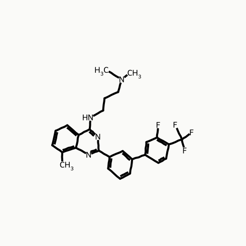 Cc1cccc2c(NCCCN(C)C)nc(-c3cccc(-c4ccc(C(F)(F)F)c(F)c4)c3)nc12